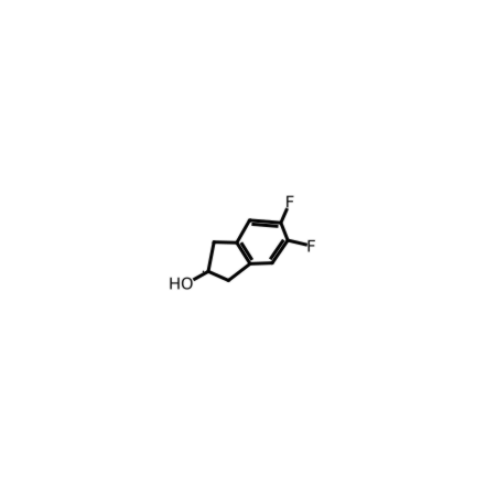 O[C]1Cc2cc(F)c(F)cc2C1